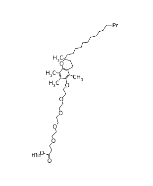 Cc1c(C)c2c(c(C)c1OCCOCCOCCOCCOCCC(=O)OC(C)(C)C)CCC(C)(CCCCCCCCCCCC(C)C)O2